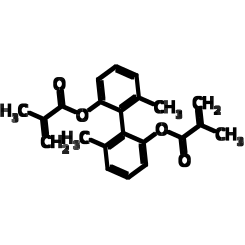 C=C(C)C(=O)Oc1cccc(C)c1-c1c(C)cccc1OC(=O)C(=C)C